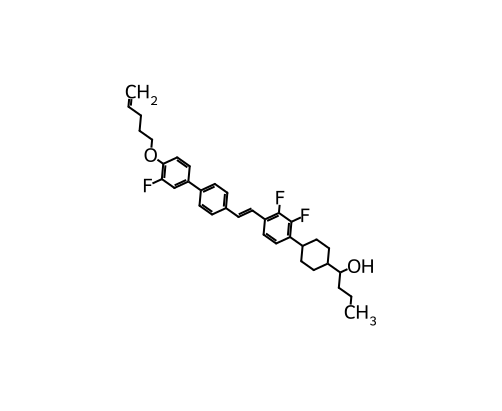 C=CCCCOc1ccc(-c2ccc(/C=C/c3ccc(C4CCC(C(O)CCC)CC4)c(F)c3F)cc2)cc1F